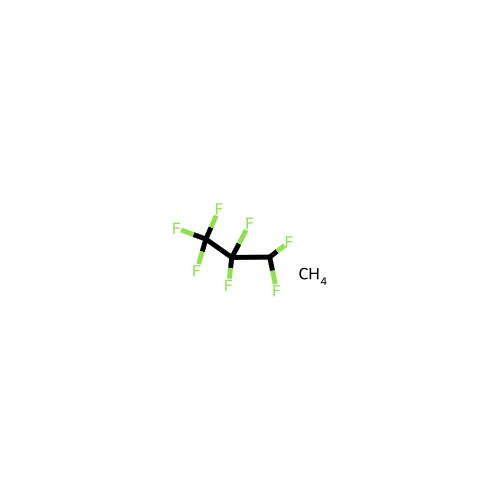 C.FC(F)C(F)(F)C(F)(F)F